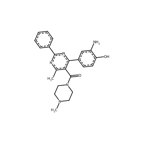 Cc1nc(-c2ccccc2)nc(-c2ccc(O)c(N)c2)c1C(=O)N1CCN(C)CC1